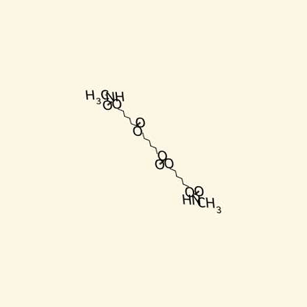 CNC(=O)OCCCCCCOC(=O)OCCCCCCOC(=O)CCCCCOC(=O)NC